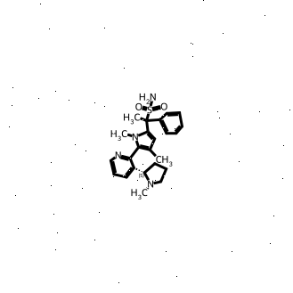 Cc1cc(C(C)(c2ccccc2)S(N)(=O)=O)n(C)c1-c1ncccc1[C@@H]1CCCN1C